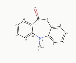 CC(C)(C)N1c2ccccc2CC(=O)c2ccccc21